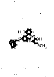 CSCCC(NC(=O)c1ccc(OCCC23CC4CC(CC(C4)C2)C3)cc1-c1ccccc1C)C(=O)O